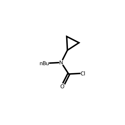 CCCCN(C(=O)Cl)C1CC1